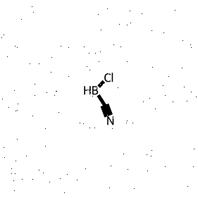 N#CBCl